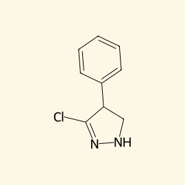 ClC1=NNCC1c1ccccc1